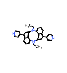 CCn1c2cc(-c3ccncc3)c3cccc(c3c2)n(CC)c2cc(-c3ccncc3)c3cccc1c3c2